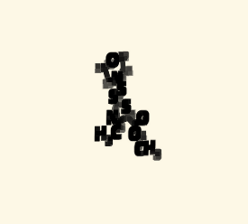 CCOC(=O)c1sc(SSN2CCOCC2)nc1C